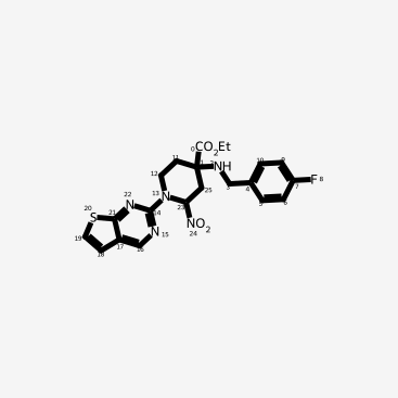 CCOC(=O)C1(NCc2ccc(F)cc2)CCN(c2ncc3ccsc3n2)C([N+](=O)[O-])C1